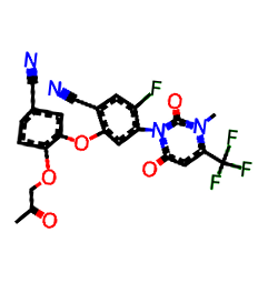 CC(=O)COc1ccc(C#N)cc1Oc1cc(-n2c(=O)cc(C(F)(F)F)n(C)c2=O)c(F)cc1C#N